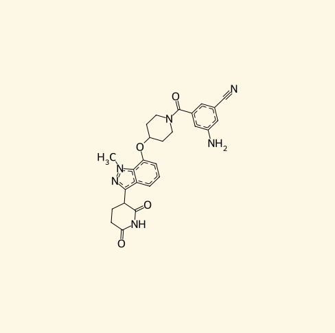 Cn1nc(C2CCC(=O)NC2=O)c2cccc(OC3CCN(C(=O)c4cc(N)cc(C#N)c4)CC3)c21